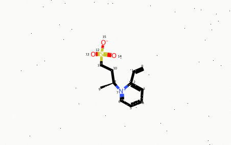 C=Cc1cccc[n+]1[C@@H](C)CCS(=O)(=O)[O-]